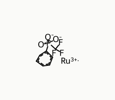 [O-]P([O-])([O-])(c1ccccc1)C(F)(F)F.[Ru+3]